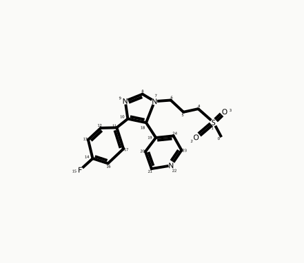 CS(=O)(=O)CCCn1cnc(-c2ccc(F)cc2)c1-c1ccncc1